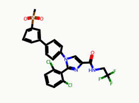 CS(=O)(=O)c1cccc(-c2ccc(-n3cc(C(=O)NCC(F)(F)F)nc3-c3c(Cl)cccc3Cl)cc2)c1